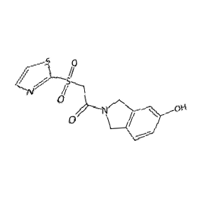 O=C(CS(=O)(=O)c1nccs1)N1Cc2ccc(O)cc2C1